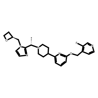 C[C@@H](c1nccn1C[C@@H]1CCO1)N1CCC(c2cccc(OCc3ccncc3F)n2)CC1